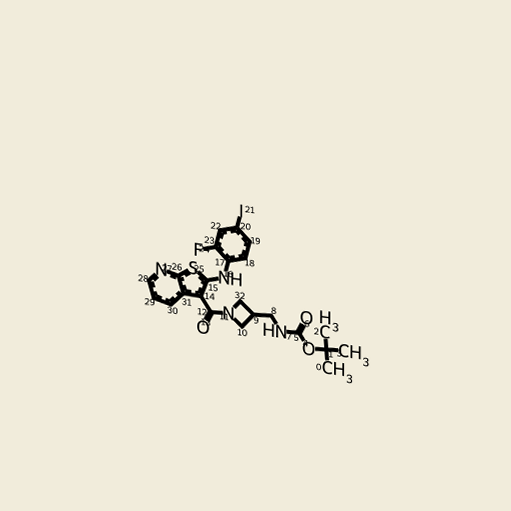 CC(C)(C)OC(=O)NCC1CN(C(=O)c2c(Nc3ccc(I)cc3F)sc3ncccc23)C1